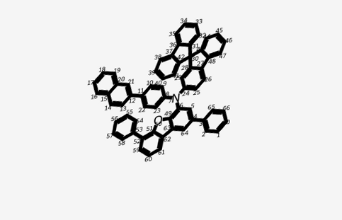 c1ccc(-c2cc(N(c3ccc(-c4ccc5ccccc5c4)cc3)c3ccc4c(c3)C3(c5ccccc5-c5ccccc53)c3ccccc3-4)c3oc4c(-c5ccccc5)cccc4c3c2)cc1